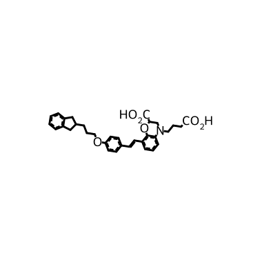 O=C(O)CCCN1CC(C(=O)O)Oc2c(C=Cc3ccc(OCCCC4Cc5ccccc5C4)cc3)cccc21